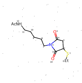 CCSC1CC(=O)N(CCCCCNC(C)=O)C1=O